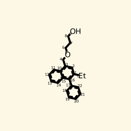 CCc1cc(COCCCO)c2ccccc2c1-c1ccccc1